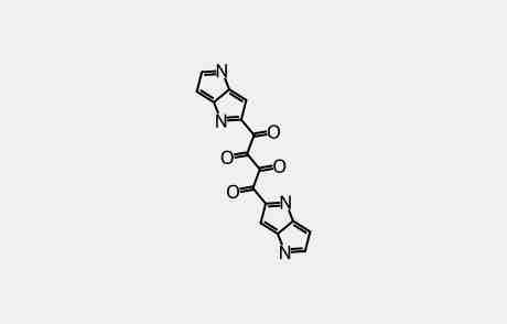 O=C(C(=O)C(=O)C1=NC2=CC=NC2=C1)C(=O)C1=NC2=CC=NC2=C1